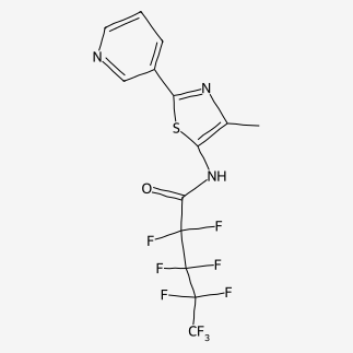 Cc1nc(-c2cccnc2)sc1NC(=O)C(F)(F)C(F)(F)C(F)(F)C(F)(F)F